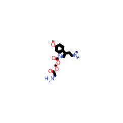 COc1ccc2c(CCN(C)C)cn(C(=O)OCOC(=O)CN)c2c1